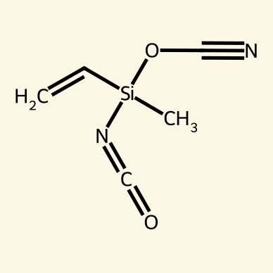 C=C[Si](C)(N=C=O)OC#N